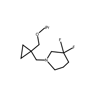 CC(C)OCC1(CN2CCCC(F)(F)C2)CC1